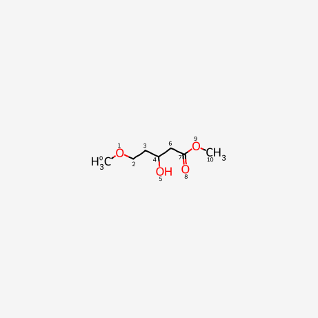 COCCC(O)CC(=O)OC